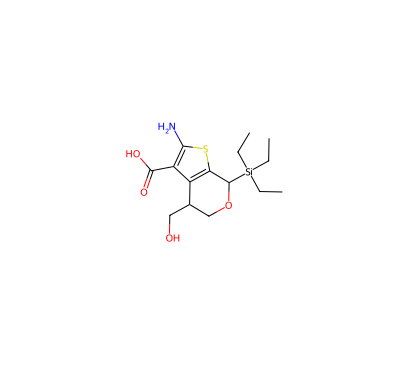 CC[Si](CC)(CC)C1OCC(CO)c2c1sc(N)c2C(=O)O